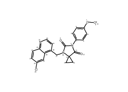 O=C1N(c2ccc(OC(F)(F)F)cc2)C(=O)C2(CC2)N1Cc1ccnc2ccc(Cl)cc12